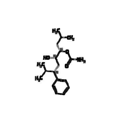 CC(C)C[C@H](OC(N)=O)[C@@H](O)C[C@H](c1ccccc1)C(C)C